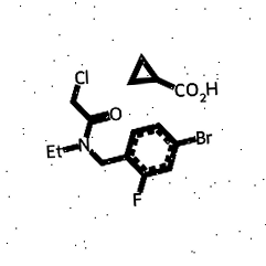 CCN(Cc1ccc(Br)cc1F)C(=O)CCl.O=C(O)C1CC1